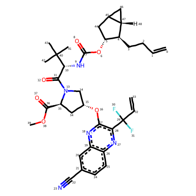 C=CCC[C@H]1[C@H](OC(=O)N[C@H](C(=O)N2C[C@H](Oc3nc4cc(C#N)ccc4nc3C(F)(F)C=C)C[C@H]2C(=O)OC)C(C)(C)C)CC2C[C@@H]21